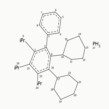 CC(C)c1c(-c2ccccc2)c(C2CCCCC2)c(C2CCCCC2)c(C(C)C)c1C(C)C.P